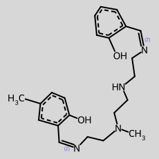 Cc1ccc(O)c(/C=N\CCN(C)CCNCC/N=C\c2ccccc2O)c1